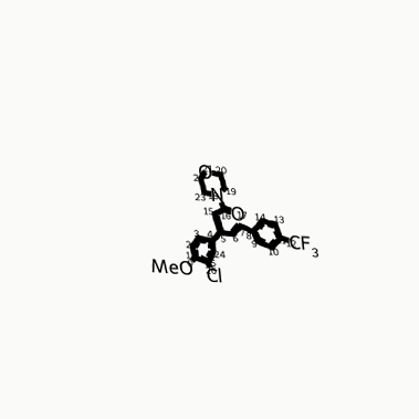 COc1ccc(C(C=Cc2ccc(C(F)(F)F)cc2)=CC(=O)N2CCOCC2)cc1Cl